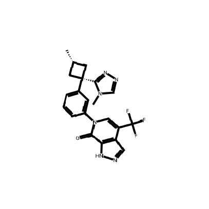 Cn1cnnc1[C@]1(c2cccc(-n3cc(C(F)(F)F)c4cn[nH]c4c3=O)c2)C[C@H](C)C1